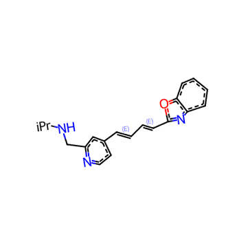 CC(C)NCc1cc(/C=C/C=C/c2nc3ccccc3o2)ccn1